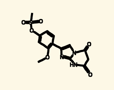 COc1cc(OS(C)(=O)=O)ccc1-c1cn2c(n1)NC(=O)CC2=O